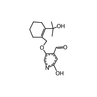 CC(C)(O)C1=C(COc2cnc(O)cc2C=O)CCCC1